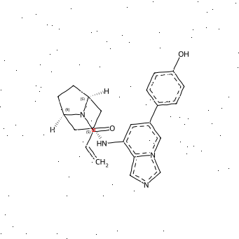 C=CC(=O)N1[C@@H]2CC[C@H]1C[C@H](Nc1cc(-c3ccc(O)cc3)cn3cncc13)C2